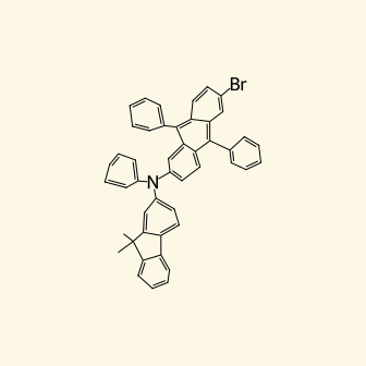 CC1(C)c2ccccc2-c2ccc(N(c3ccccc3)c3ccc4c(-c5ccccc5)c5cc(Br)ccc5c(-c5ccccc5)c4c3)cc21